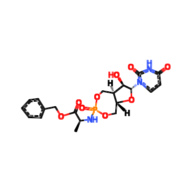 C[C@H](NP1(=O)OC[C@H]2[C@@H](O)[C@H](n3ccc(=O)[nH]c3=O)O[C@@H]2CO1)C(=O)OCc1ccccc1